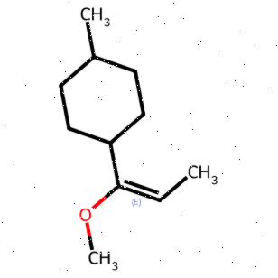 C/C=C(/OC)C1CCC(C)CC1